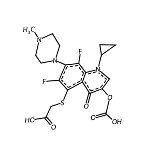 CN1CCN(c2c(F)c(SCC(=O)O)c3c(=O)c(OC(=O)O)cn(C4CC4)c3c2F)CC1